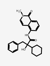 Cn1ccc2c(NC(=O)C(O)(Cc3ccccc3)C3CCCCC3)cccc2c1=O